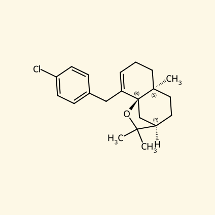 CC1(C)O[C@]23C[C@H]1CC[C@]2(C)CCC=C3Cc1ccc(Cl)cc1